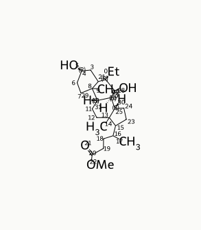 CC[C@@H]1C2C[C@H](O)CCC2(C)[C@H]2CCC3(C)C(C(C)CCC(=O)OC)CC[C@H]3[C@@H]2[C@@H]1O